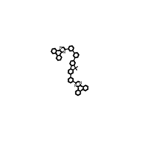 CC1(C)c2cc(-c3cccc(-c4cccc(-c5cnc6c7ccccc7c7ccccc7c6n5)c4)c3)ccc2-c2ccc(-c3cccc(-c4cnc5c6ccccc6c6ccccc6c5n4)c3)cc21